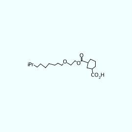 CC(C)CCCCCCCOCCOC(=O)C1CCCC(C(=O)O)C1